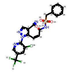 N#Cc1cnn(-c2ncc(C(F)(F)F)cc2Cl)c1/C=C\C(=O)NS(=O)(=O)Cc1ccccc1